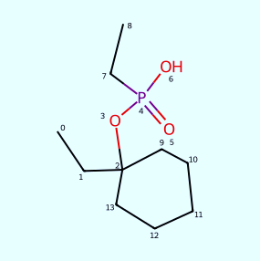 CCC1(OP(=O)(O)CC)CCCCC1